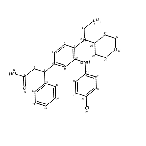 CCN(c1ccc(C(CC(=O)O)c2ccccc2)cc1Nc1ccc(Cl)cc1)C1CCOCC1